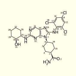 NC(=O)[C@H]1CC[C@@H](n2c(Nc3c(Cl)cc(Cl)cc3Cl)nc3cnc(NC4CCCC[C@@H]4O)nc32)CC1